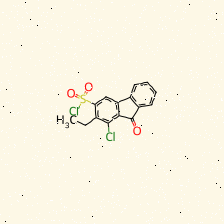 CCc1c(S(=O)(=O)Cl)cc2c(c1Cl)C(=O)c1ccccc1-2